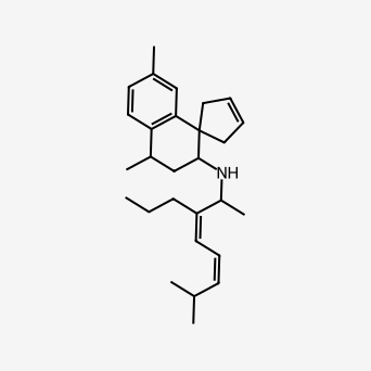 CCC/C(=C/C=C\C(C)C)C(C)NC1CC(C)c2ccc(C)cc2C12CC=CC2